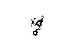 FC(F)(F)Oc1cc(Br)ccc1OCc1ccccc1